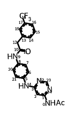 CC(=O)Nc1cc(Nc2ccc(NC(=O)Cc3cccc(C(F)(F)F)c3)cc2)ncn1